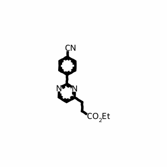 CCOC(=O)CCc1ccnc(-c2ccc(C#N)cc2)n1